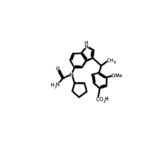 COc1cc(C(=O)O)ccc1C(C)c1c[nH]c2ccc(N(C(N)=O)C3CCCC3)cc12